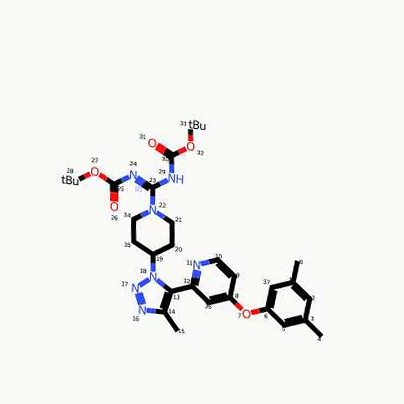 Cc1cc(C)cc(Oc2ccnc(-c3c(C)nnn3C3CCN(/C(=N\C(=O)OC(C)(C)C)NC(=O)OC(C)(C)C)CC3)c2)c1